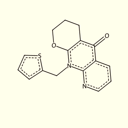 O=c1c2c(n(Cc3cccs3)c3ncccc13)OCCC2